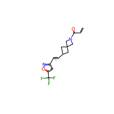 C=CC(=O)N1CC2(CC(/C=C/c3cc(C(F)(F)F)on3)C2)C1